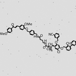 COc1ccc(C(=O)/C=C/c2ccc(OCc3ccc(CNC(=O)CCCNC(=O)C(C)(C)NCc4cc(Cl)c(OCc5cccc(-c6ccccc6)c5C)cc4OCc4cccc(C#N)c4)cc3)c(OC)c2)cc1